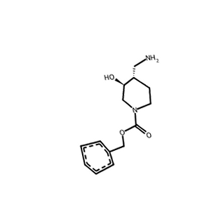 NC[C@@H]1CCN(C(=O)OCc2ccccc2)C[C@H]1O